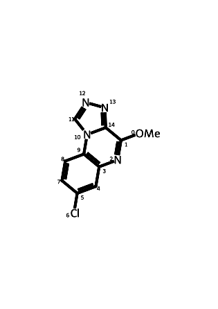 COc1nc2cc(Cl)ccc2n2cnnc12